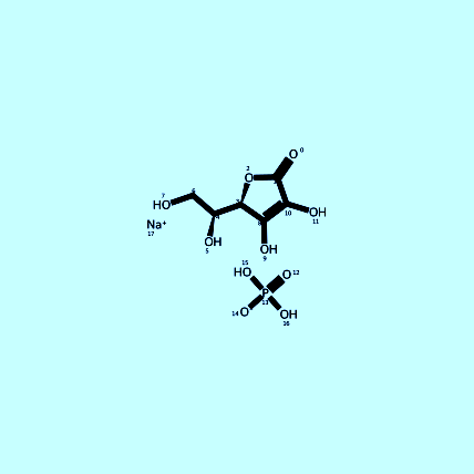 O=C1O[C@H]([C@@H](O)CO)C(O)=C1O.O=P([O-])(O)O.[Na+]